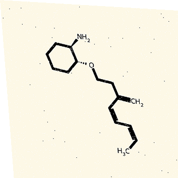 C=C(/C=C\C=C/C)CCO[C@@H]1CCCC[C@H]1N